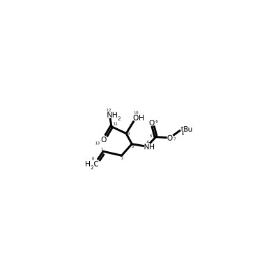 C=CCC(NC(=O)OC(C)(C)C)C(O)C(N)=O